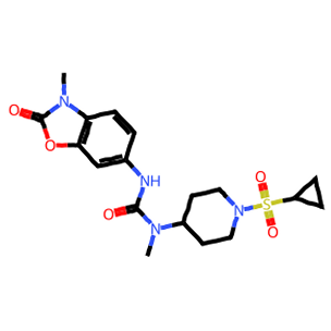 CN(C(=O)Nc1ccc2c(c1)oc(=O)n2C)C1CCN(S(=O)(=O)C2CC2)CC1